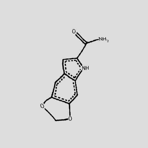 NC(=O)c1cc2cc3c(cc2[nH]1)OCO3